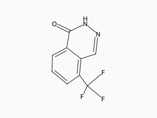 O=c1[nH]ncc2c(C(F)(F)F)cccc12